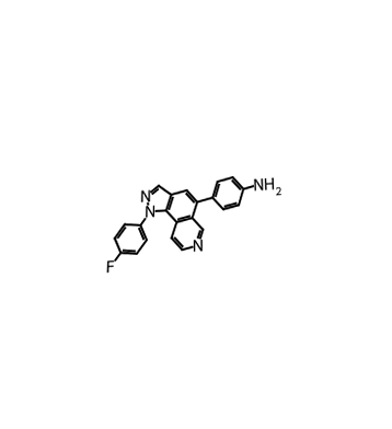 Nc1ccc(-c2cc3cnn(-c4ccc(F)cc4)c3c3ccncc23)cc1